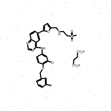 CS(=O)(=O)CCNCc1ccc(-c2ccc3ncnc(Nc4ccc(OCc5cccc(F)c5)c(Cl)c4)c3c2)o1.O=C(O)CCC(=O)O